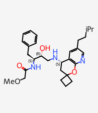 COCC(=O)N[C@@H](Cc1ccccc1)[C@H](O)CN[C@H]1CC2(CCC2)Oc2ncc(CCC(C)C)cc21